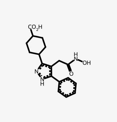 O=C(Cc1c(C2CCC(C(=O)O)CC2)n[nH]c1-c1ccccc1)NO